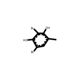 Cc1cc(Br)c(O)c(Br)c1O